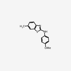 COc1ccc(Nc2nc3ccc(C)cc3s2)cc1